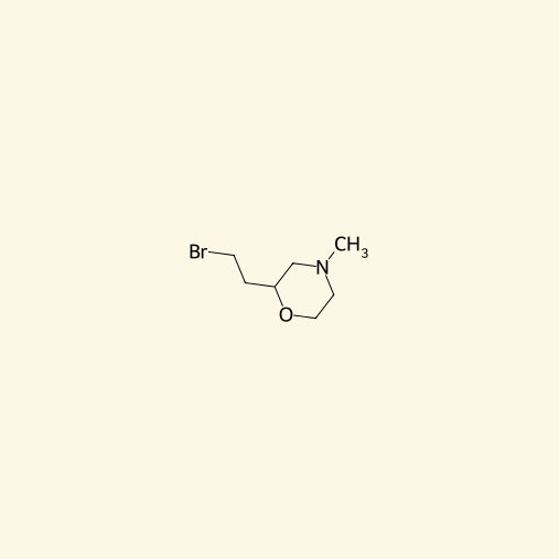 CN1CCOC(CCBr)C1